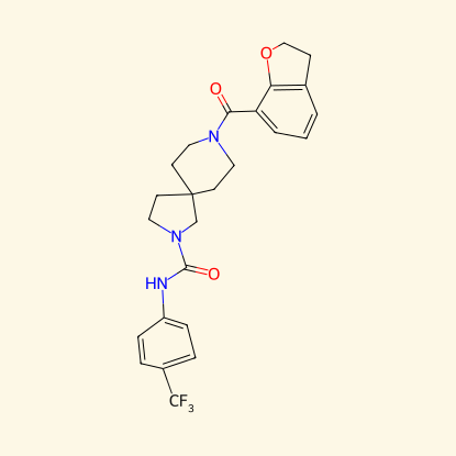 O=C(Nc1ccc(C(F)(F)F)cc1)N1CCC2(CCN(C(=O)c3cccc4c3OCC4)CC2)C1